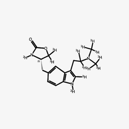 [2H]c1c(CC([2H])([2H])N(C([2H])([2H])[2H])C([2H])([2H])[2H])c2cc(C[C@@H]3N([2H])C(=O)OC3([2H])[2H])ccc2n1[2H]